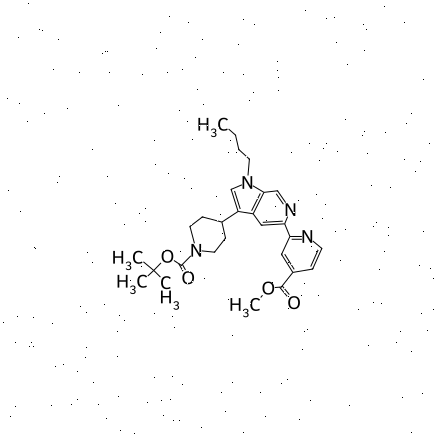 CCCCn1cc(C2CCN(C(=O)OC(C)(C)C)CC2)c2cc(-c3cc(C(=O)OC)ccn3)ncc21